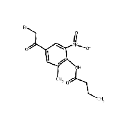 CCCC(=O)Nc1c(C)cc(C(=O)CBr)cc1[N+](=O)[O-]